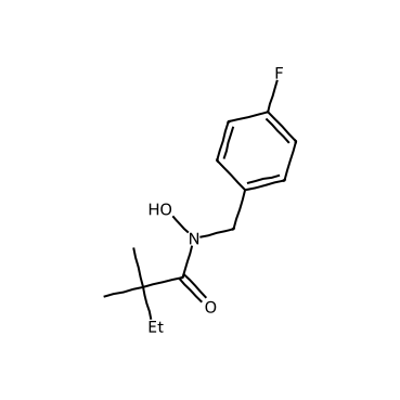 CCC(C)(C)C(=O)N(O)Cc1ccc(F)cc1